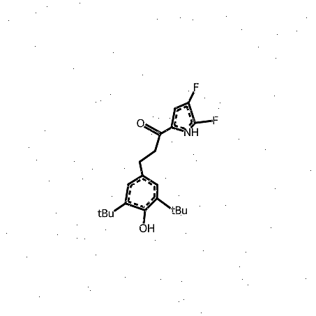 CC(C)(C)c1cc(CCC(=O)c2cc(F)c(F)[nH]2)cc(C(C)(C)C)c1O